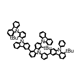 CC(C)(C)c1c(-n2c3ccccc3c3ccccc32)cccc1-n1c2ccccc2c2cc(-c3cccc4c3c3ccc(-n5c6ccccc6c6ccccc65)c(C(C)(C)C)c3n4-c3cccc(-c4ccc5c(c4)c4cccc(C(C)(C)C)c4n5-c4ccccc4)c3)ccc21